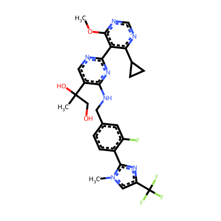 COc1ncnc(C2CC2)c1-c1ncc(C(C)(O)CO)c(NCc2ccc(-c3nc(C(F)(F)F)cn3C)c(F)c2)n1